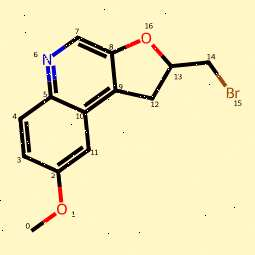 COc1ccc2ncc3c(c2c1)CC(CBr)O3